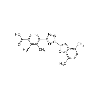 Cc1c(C(=O)O)ccc(-c2nnc(-c3cc4c(C)ccc(C)c4o3)o2)c1C